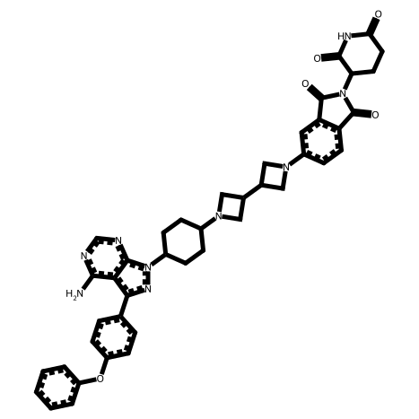 Nc1ncnc2c1c(-c1ccc(Oc3ccccc3)cc1)nn2C1CCC(N2CC(C3CN(c4ccc5c(c4)C(=O)N(C4CCC(=O)NC4=O)C5=O)C3)C2)CC1